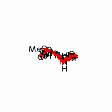 COc1cc(O[C@H]2C[C@H](N(C)CC3CCN(c4ccc(-c5cnc6[nH]cc(C(=O)c7c(F)ccc(NS(=O)(=O)N8CC[C@@H](F)C8)c7F)c6c5)cc4)CC3)C2)cc2c1C(=O)N(C1CCC(=O)NC1=O)C2=O